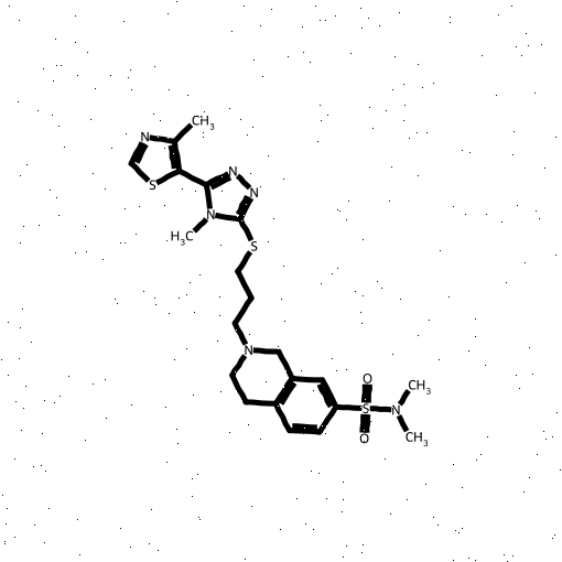 Cc1ncsc1-c1nnc(SCCCN2CCc3ccc(S(=O)(=O)N(C)C)cc3C2)n1C